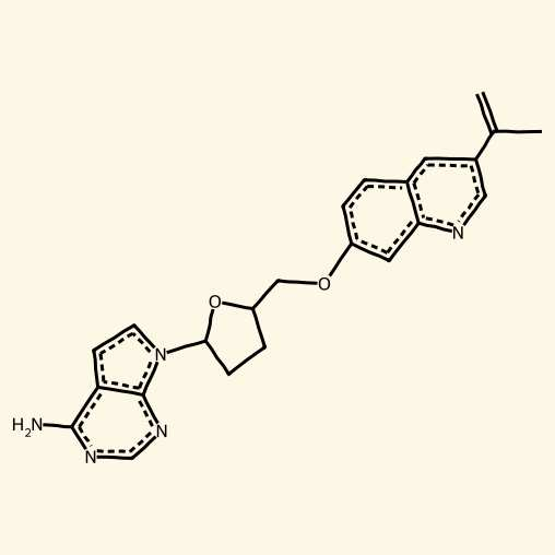 C=C(C)c1cnc2cc(OCC3CCC(n4ccc5c(N)ncnc54)O3)ccc2c1